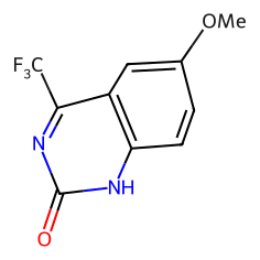 COc1ccc2[nH]c(=O)nc(C(F)(F)F)c2c1